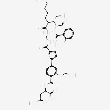 CCCCCC(C(=O)NCNC(=O)c1ccc(-c2ccc(C(=O)NC(CC(=O)O)C(=O)O)c(OCC)c2)o1)[C@@H](CC)N(C=O)OC(=O)c1ccccc1C